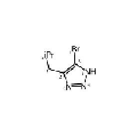 CC(C)Cc1nn[nH]c1Br